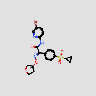 O=C(Nc1ccc(Br)cn1)/C(=N/O[C@@H]1CCOC1)c1ccc(S(=O)(=O)C2CC2)cc1